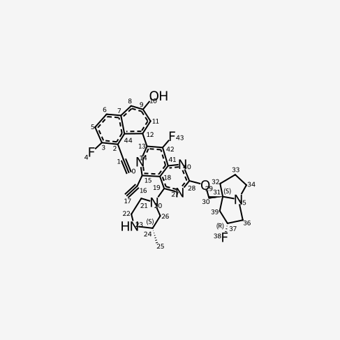 C#Cc1c(F)ccc2cc(O)cc(-c3nc(C#C)c4c(N5CCN[C@@H](C)C5)nc(OC[C@@]56CCCN5C[C@H](F)C6)nc4c3F)c12